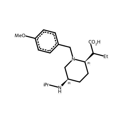 CCC(C(=O)O)[C@H]1CC[C@@H](NC(C)C)CN1Cc1ccc(OC)cc1